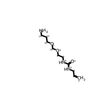 C=CCNC(=O)NCCOCOCCCN